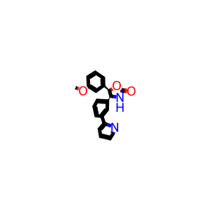 COc1cccc([C@H]2OC(=O)N[C@@H]2c2cccc(-c3ccccn3)c2)c1